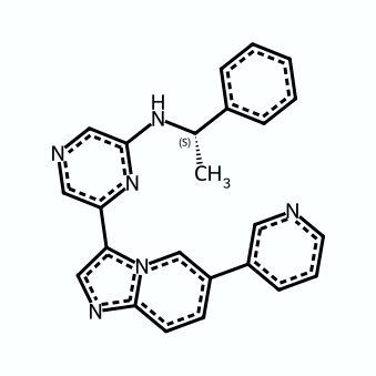 C[C@H](Nc1cncc(-c2cnc3ccc(-c4cccnc4)cn23)n1)c1ccccc1